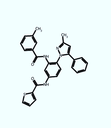 Cc1cccc(C(=O)Nc2cc(NC(=O)c3cccs3)ccc2-n2nc(C)cc2-c2ccccc2)c1